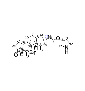 C[C@]12CC/C(=N\COC3CCNC3)CC1CCC1C2C(F)C[C@]2(C)C(=O)CCC12